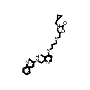 Cc1c(SCCCSCC2CN(CC3CC3)C(=O)O2)ccnc1CNc1cnc2ccccc2c1